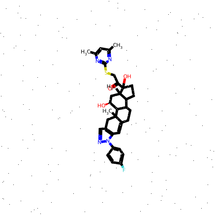 Cc1cc(C)nc(SCC(=O)C2(O)CCC3C4CCC5=Cc6c(cnn6-c6ccc(F)cc6)CC5(C)C4[C@@H](O)CC32C)n1